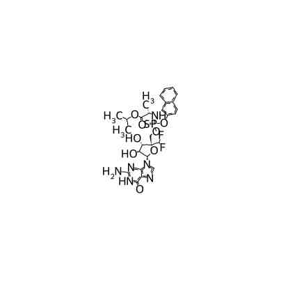 CC(C)OC(=O)[C@H](C)NP(=S)(OC[C@@]1(C(F)F)O[C@@H](n2cnc3c(=O)[nH]c(N)nc32)[C@@H](O)[C@@H]1O)Oc1ccc2ccccc2c1